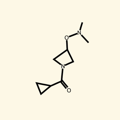 CN(C)OC1CN(C(=O)C2CC2)C1